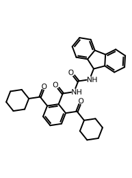 O=C(NC(=O)c1c(C(=O)C2CCCCC2)cccc1C(=O)C1CCCCC1)NC1c2ccccc2-c2ccccc21